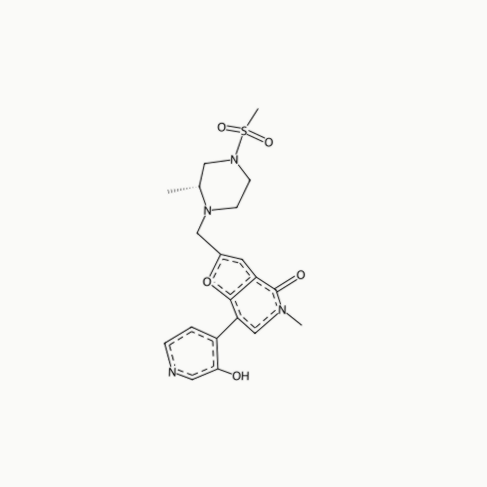 C[C@@H]1CN(S(C)(=O)=O)CCN1Cc1cc2c(=O)n(C)cc(-c3ccncc3O)c2o1